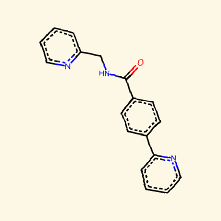 O=C(NCc1ccccn1)c1ccc(-c2ccccn2)cc1